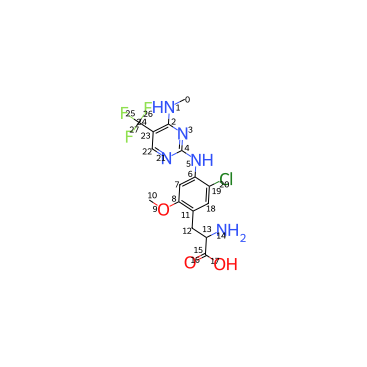 CNc1nc(Nc2cc(OC)c(CC(N)C(=O)O)cc2Cl)ncc1C(F)(F)F